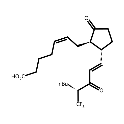 CCCC[C@H](C(=O)/C=C/[C@H]1CCC(=O)[C@@H]1C/C=C\CCCC(=O)O)C(F)(F)F